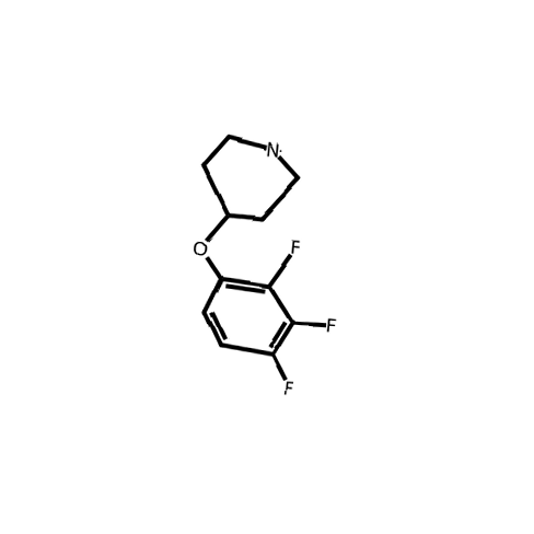 Fc1ccc(OC2CC[N]CC2)c(F)c1F